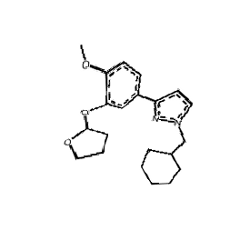 COc1ccc(-c2ccn(CC3CCCCC3)n2)cc1OC1CCCO1